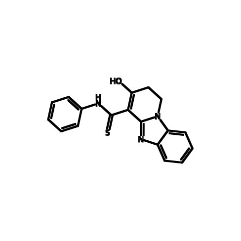 OC1=C(C(=S)Nc2ccccc2)c2nc3ccccc3n2CC1